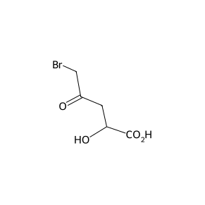 O=C(CBr)CC(O)C(=O)O